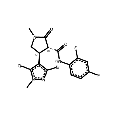 CN1C[C@H](c2c(Br)nn(C)c2Cl)[C@@H](C(=O)Nc2ccc(F)cc2F)C1=O